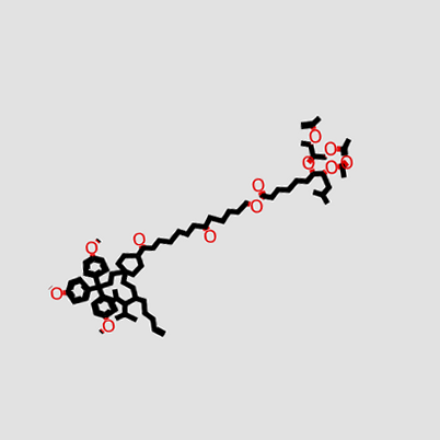 C=CCCCC(CCC1(CCC(c2ccc(OC)cc2)(c2ccc(OC)cc2)c2ccc(OC)cc2)CCC(C(=O)CCCCCCC(=O)CCCCCOC(=O)CCCCCC(OC(COC(=C)C)C(C)OC(=C)C)C(CC(C)C)OC(C)=O)CC1)C(C(C)C)C(C)C